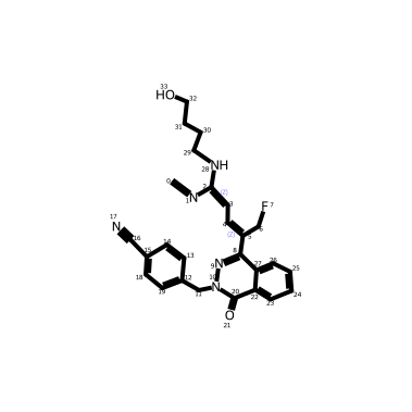 C=N/C(=C\C=C(/CF)c1nn(Cc2ccc(C#N)cc2)c(=O)c2ccccc12)NCCCCO